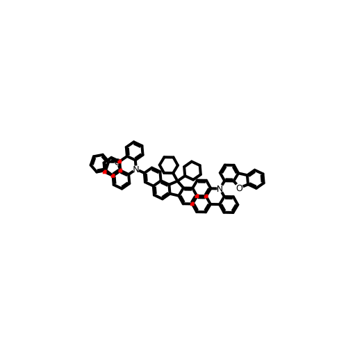 c1ccc(-c2ccccc2N(c2ccc3c4c(ccc3c2)-c2ccc3cc(N(c5ccccc5-c5ccccc5)c5cccc6c5oc5ccccc56)ccc3c2C4(C2CCCCC2)C2CCCCC2)c2cccc3c2oc2ccccc23)cc1